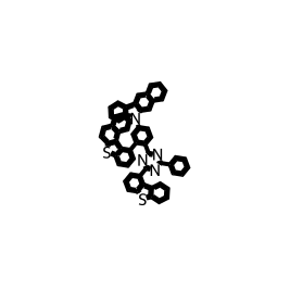 c1ccc(-c2nc(-c3ccc(-n4c5ccccc5c5cc6ccccc6cc54)cc3-c3cccc4sc5ccc6ccccc6c5c34)nc(-c3cccc4sc5ccccc5c34)n2)cc1